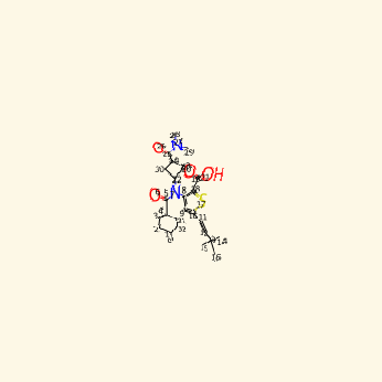 CC1CCC(C(=O)N(c2cc(C#CC(C)(C)C)sc2C(=O)O)C2CC(C(=O)N(C)C)C2)CC1